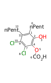 CCCCCc1c(O)c(OC(=O)O)c(Cl)c(Cl)c1CCCCC